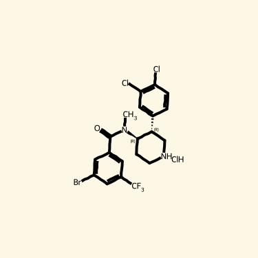 CN(C(=O)c1cc(Br)cc(C(F)(F)F)c1)[C@@H]1CCNC[C@H]1c1ccc(Cl)c(Cl)c1.Cl